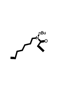 C=CCCCCCN(CCCC)C(=O)C=C